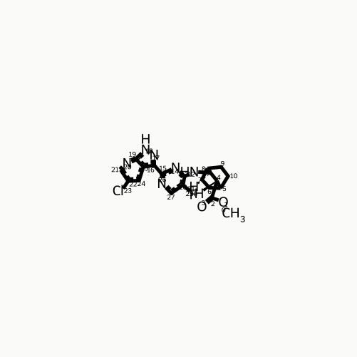 COC(=O)[C@H]1C2CCC(CC2)[C@@H]1Nc1nc(-c2n[nH]c3ncc(Cl)cc23)ncc1F